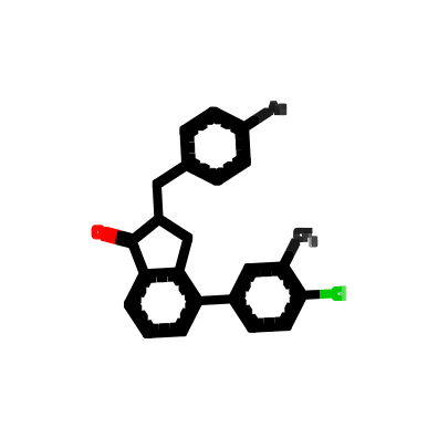 CC(=O)c1ccc(CC2Cc3c(cccc3-c3ccc(Cl)c(C(F)(F)F)c3)C2=O)cc1